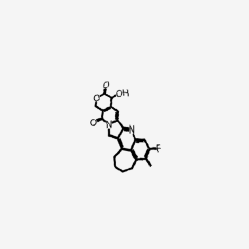 Cc1c(F)cc2nc3c(c4c2c1CCCC4)Cn1c-3cc2c(c1=O)COC(=O)C2O